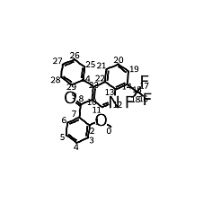 COc1ccccc1C(=O)c1cnc2c(C(F)(F)F)cccc2c1-c1ccccc1